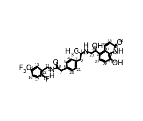 C[C@H](Cc1ccc(CC(=O)NCc2cc(C(F)(F)F)ccc2F)cc1)NC[C@@H](O)c1ccc(O)c2[nH]c(=O)ccc12